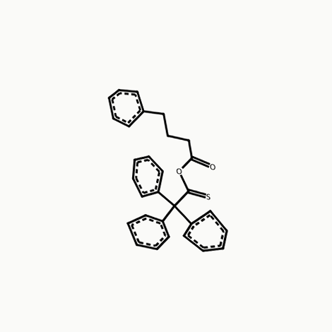 O=C(CCCc1ccccc1)OC(=S)C(c1ccccc1)(c1ccccc1)c1ccccc1